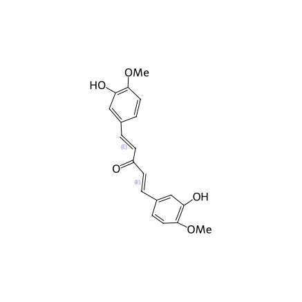 COc1ccc(/C=C/C(=O)/C=C/c2ccc(OC)c(O)c2)cc1O